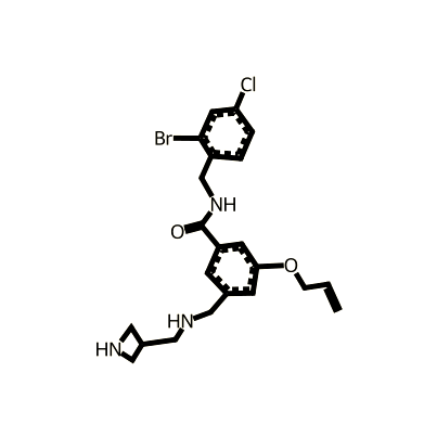 C=CCOc1cc(CNCC2CNC2)cc(C(=O)NCc2ccc(Cl)cc2Br)c1